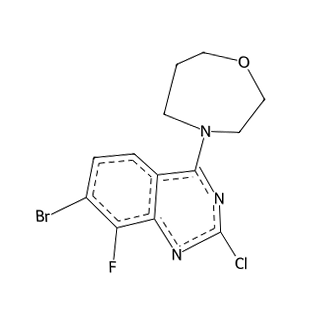 Fc1c(Br)ccc2c(N3CCCOCC3)nc(Cl)nc12